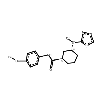 CC(C)Oc1ccc(NC(=O)[C@@H]2CCC[C@@H]([S+]([O-])c3nncs3)C2)cc1